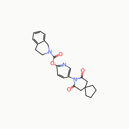 O=C(Oc1ccc(N2C(=O)CC3(CCCC3)CC2=O)cn1)N1CCc2ccccc2C1